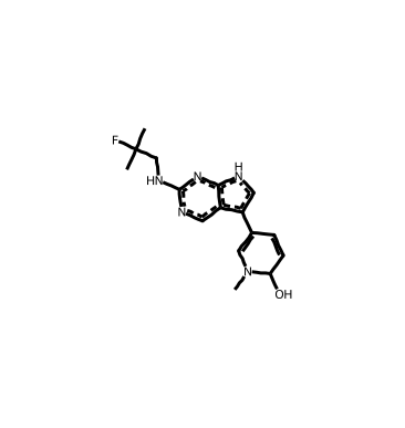 CN1C=C(c2c[nH]c3nc(NCC(C)(C)F)ncc23)C=CC1O